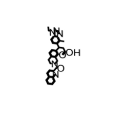 CCn1nnc2c(C)c(C(CC(=O)O)c3ccc4c(c3)CN(C(=O)c3ccc5ccccc5n3)CC4)ccc21